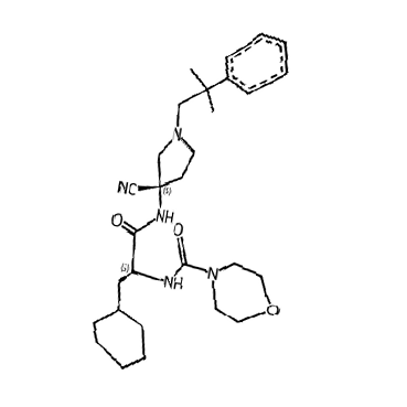 CC(C)(CN1CC[C@](C#N)(NC(=O)[C@H](CC2CCCCC2)NC(=O)N2CCOCC2)C1)c1ccccc1